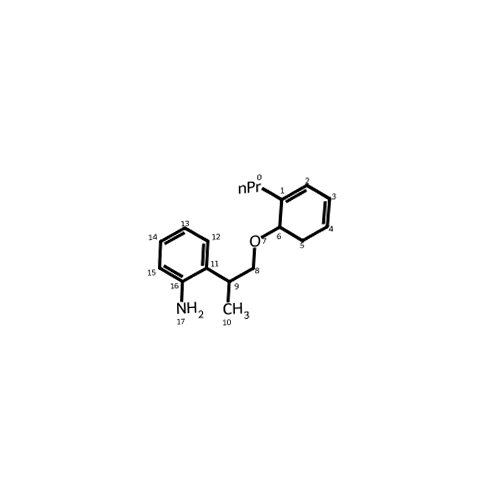 CCCC1=CC=CCC1OCC(C)c1ccccc1N